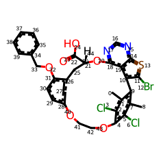 Cc1c(Cl)c2c(Cl)c(C)c1-c1c(Br)sc3ncnc(c13)O[C@@H](C(=O)O)Cc1cc(ccc1OCc1ccccc1)OCCO2